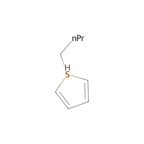 CCCC[SH]1C=CC=C1